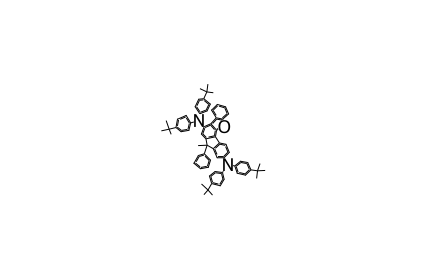 CC(C)(C)c1ccc(N(c2ccc(C(C)(C)C)cc2)c2ccc3c(c2)C(C)(c2ccccc2)c2cc(N(c4ccc(C(C)(C)C)cc4)c4ccc(C(C)(C)C)cc4)c4c(oc5ccccc54)c2-3)cc1